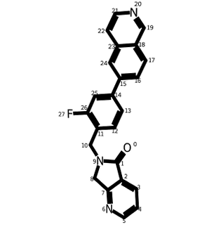 O=C1c2cccnc2CN1Cc1ccc(-c2ccc3cnccc3c2)cc1F